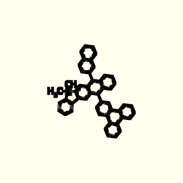 C[Si]1(C)c2ccccc2-c2cc3c(-c4ccc5c6ccccc6c6ccccc6c5c4)c4ccccc4c(-c4ccc5ccccc5c4)c3cc21